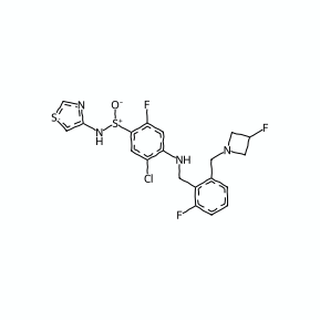 [O-][S+](Nc1cscn1)c1cc(Cl)c(NCc2c(F)cccc2CN2CC(F)C2)cc1F